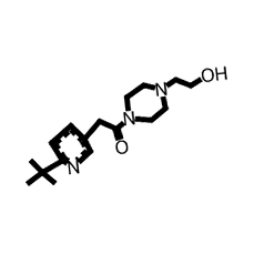 CC(C)(C)c1ccc(CC(=O)N2CCN(CCO)CC2)cn1